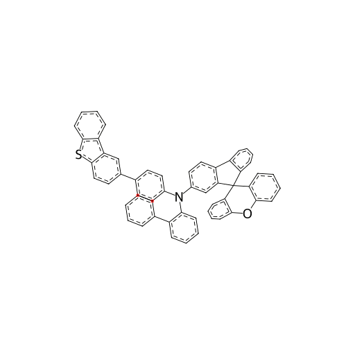 c1ccc(-c2ccccc2N(c2ccc(-c3ccc4sc5ccccc5c4c3)cc2)c2ccc3c(c2)C2(c4ccccc4Oc4ccccc42)c2ccccc2-3)cc1